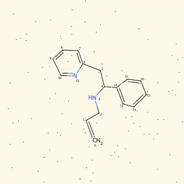 C=CCNC(Cc1ccccn1)c1ccccc1